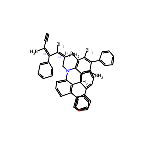 B/C(CN(c1cccc(-c2ccccc2)c1-c1ccccc1-c1ccccc1)c1c(B)c(B)c(-c2ccccc2)c(B)c1B)=C(B)/C(=C(/B)C#C)c1ccccc1